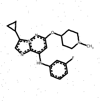 CN1CCC(Oc2cc(Nc3cccc(F)c3)c3ncc(C4CC4)n3n2)CC1